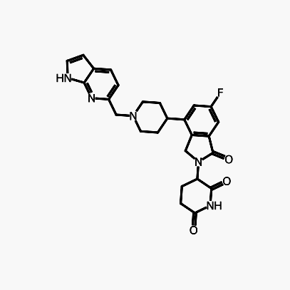 O=C1CCC(N2Cc3c(cc(F)cc3C3CCN(Cc4ccc5cc[nH]c5n4)CC3)C2=O)C(=O)N1